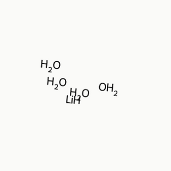 O.O.O.O.[LiH]